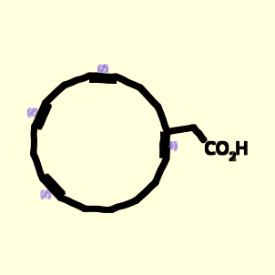 O=C(O)C/C1=C/CCCC/C=C\C/C=C\C/C=C\CC1